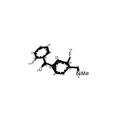 CNCc1ccc(C(=O)c2ccccc2F)cc1F